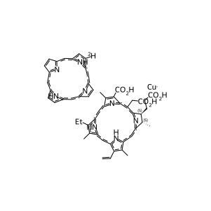 C=Cc1c(C)c2cc3nc(c(CC(=O)O)c4nc(cc5[nH]c(cc1[nH]2)c(C)c5CC)C(C)=C4C(=O)O)[C@@H](CCC(=O)O)[C@@H]3C.[2H]c1cc2cc3nc(cc4ccc(cc5nc(cc1[nH]2)C=C5)[nH]4)C=C3.[Cu]